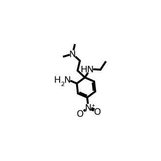 CCNC1(CCN(C)C)C=CC([N+](=O)[O-])=CC1N